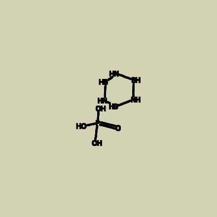 B1NBNBN1.O=P(O)(O)O